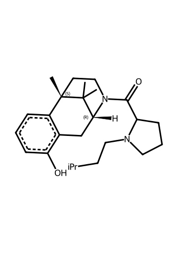 CC(C)CCN1CCCC1C(=O)N1CC[C@@]2(C)c3cccc(O)c3C[C@@H]1C2(C)C